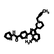 CC#CCN1CCCC(c2nc(-c3ccc(C(=O)Nc4ccccn4)cn3)n3c(N)nccc23)C1